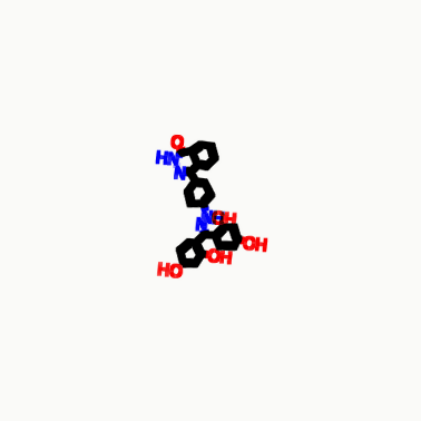 O=c1[nH]nc(-c2ccc(NN=C(c3ccc(O)cc3O)c3ccc(O)cc3O)cc2)c2ccccc12